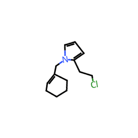 ClCCc1cccn1CC1=CCCCC1